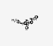 CN1CCN(CCOc2cc(OC3CCOCC3)c3c(Oc4cccc(C(=O)NCc5ccccc5)c4)ncnc3c2)CC1